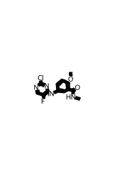 CNC(=O)c1cc(Nc2nc(Cl)ncc2F)ccc1OC